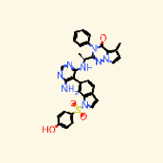 Cc1ccn2nc([C@H](C)Nc3ncnc(N)c3-c3ccc4ccn(S(=O)(=O)c5ccc(O)cc5)c4c3)n(-c3ccccc3)c(=O)c12